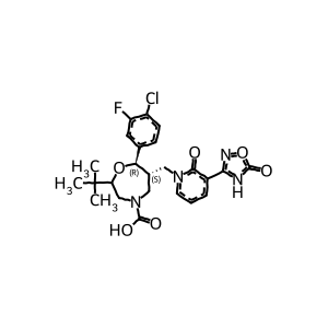 CC(C)(C)C1CN(C(=O)O)C[C@@H](Cn2cccc(-c3noc(=O)[nH]3)c2=O)[C@H](c2ccc(Cl)c(F)c2)O1